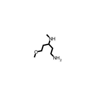 CNC(CCN)CCOC